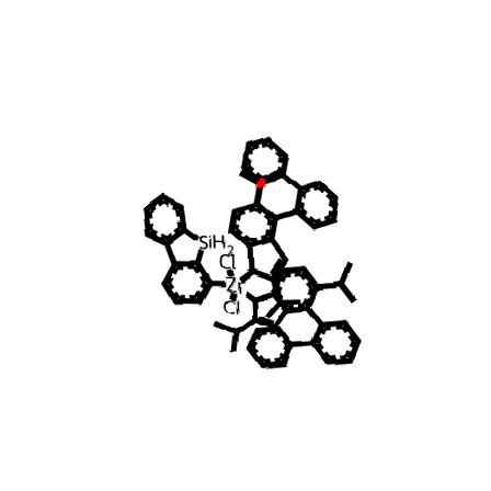 CC(C)C1=Cc2c(ccc(C(C)C)c2-c2ccccc2-c2ccccc2)[CH]1[Zr]([Cl])([Cl])([c]1cccc2c1[SiH2]c1ccccc1-2)[CH]1C(C(C)C)=Cc2c1ccc(C(C)C)c2-c1ccccc1-c1ccccc1